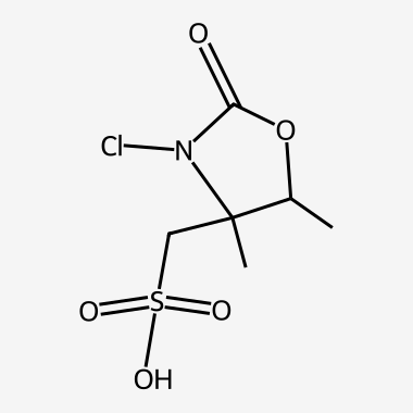 CC1OC(=O)N(Cl)C1(C)CS(=O)(=O)O